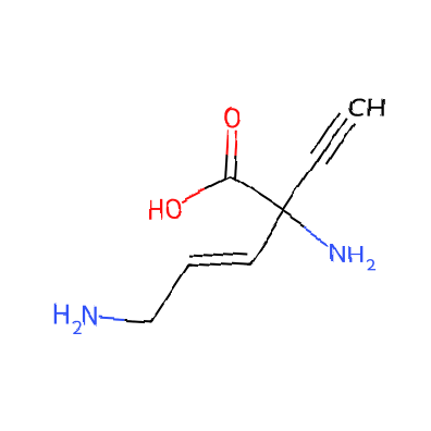 C#CC(N)(C=CCN)C(=O)O